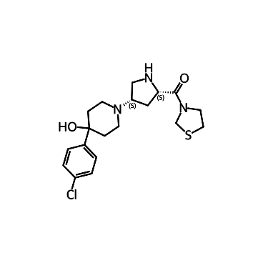 O=C([C@@H]1C[C@H](N2CCC(O)(c3ccc(Cl)cc3)CC2)CN1)N1CCSC1